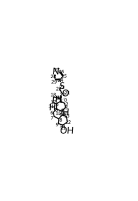 C[C@]12CC[C@H]3[C@@H](CCC4CC(O)CC[C@@]43C)[C@@H]1CC[C@@H]2C(=O)CSc1ccncc1